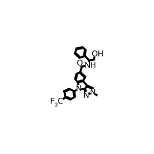 Cn1cc2c3cc(C(=O)NC(CO)c4ccccc4)ccc3n(-c3ccc(C(F)(F)F)cc3)c2n1